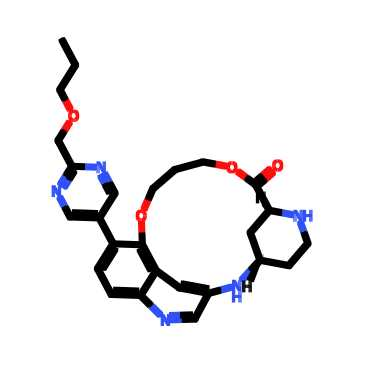 CCCOCc1ncc(-c2ccc3ncc4cc3c2OCCCOC(=O)[C@@H]2C[C@H](CCN2)N4)cn1